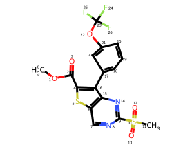 COC(=O)c1sc2cnc(S(C)(=O)=O)nc2c1-c1cccc(OC(F)(F)F)c1